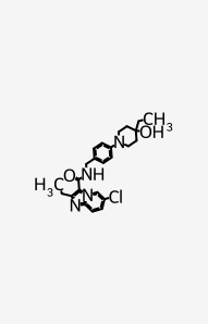 CCc1nc2ccc(Cl)cn2c1C(=O)NCc1ccc(N2CCC(O)(CC)CC2)cc1